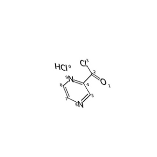 Cl.O=C(Cl)c1cnccn1